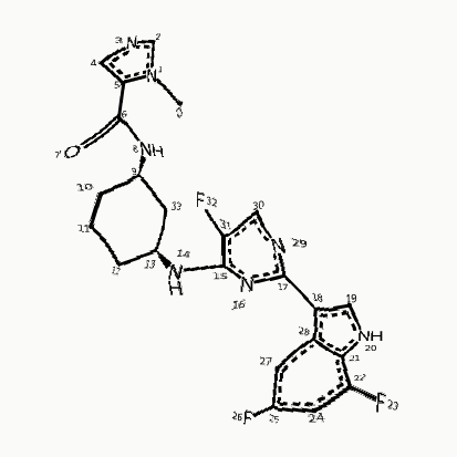 Cn1cncc1C(=O)N[C@@H]1CCC[C@H](Nc2nc(-c3c[nH]c4c(F)cc(F)cc34)ncc2F)C1